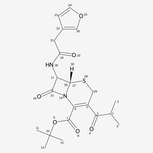 CC(C)C(=O)C1=C(C(=O)OC(C)(C)C)N2C(=O)C(NC(=O)Cc3ccoc3)[C@@H]2SC1